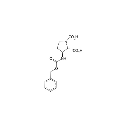 O=C(N[C@H]1CCN(C(=O)O)[C@@H]1C(=O)O)OCc1ccccc1